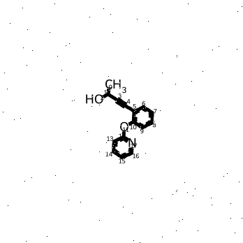 CC(O)C#Cc1ccccc1Oc1ccccn1